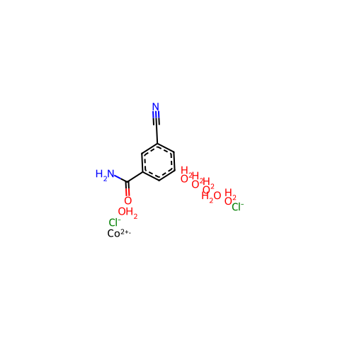 N#Cc1cccc(C(N)=O)c1.O.O.O.O.O.O.[Cl-].[Cl-].[Co+2]